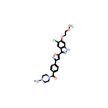 COCCOc1cc2[nH]nc(-c3cc(-c4ccc(C(=O)N5CCN(C)CC5)cc4)no3)c2cc1Cl